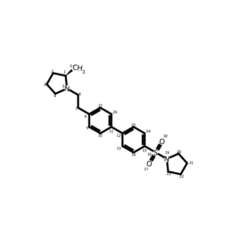 C[C@@H]1CCCN1CCc1ccc(-c2ccc(S(=O)(=O)N3CCCC3)cc2)cc1